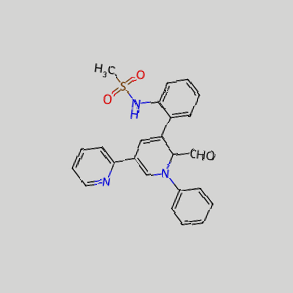 CS(=O)(=O)Nc1ccccc1C1=CC(c2ccccn2)=CN(c2ccccc2)C1C=O